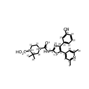 Cc1cc(-c2sc(NC(=O)N3CCN(C(=O)O)C(C)(C)C3)nc2-c2cccc(C#N)c2)cc(C)n1